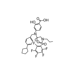 CCCN(CC(=O)N(Cc1ccc(C2CCCC2)cc1)c1ccc(C(=O)O)c(O)c1)S(=O)(=O)c1c(F)c(F)c(F)c(F)c1F